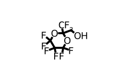 OCC1(C(F)(F)F)OC(F)(F)C(F)(F)C(F)(F)O1